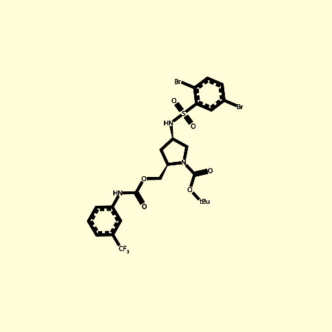 CC(C)(C)OC(=O)N1C[C@H](NS(=O)(=O)c2cc(Br)ccc2Br)C[C@@H]1COC(=O)Nc1cccc(C(F)(F)F)c1